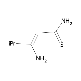 CC(C)/C(N)=C/C(N)=S